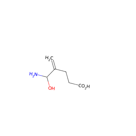 C=C(CCC(=O)O)C(N)O